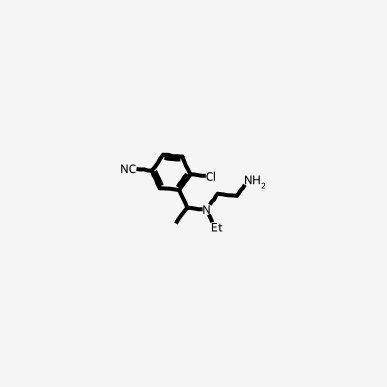 CCN(CCN)C(C)c1cc(C#N)ccc1Cl